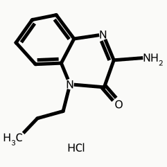 CCCn1c(=O)c(N)nc2ccccc21.Cl